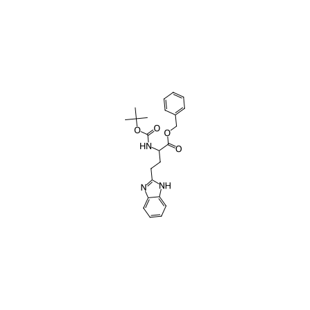 CC(C)(C)OC(=O)NC(CCc1nc2ccccc2[nH]1)C(=O)OCc1ccccc1